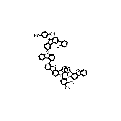 N#Cc1ccc(C#N)c(-n2c3ccc(-n4c5ccccc5c5c(-c6cccc7c6oc6c7ccc7c6c6ccccc6n7-c6ccc(C#N)c(C#N)c6-n6c7ccccc7c7c8oc9ccccc9c8ccc76)cccc54)cc3c3c4oc5ccccc5c4ccc32)c1